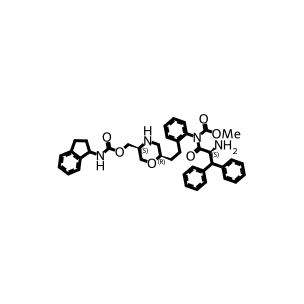 COC(=O)N(C(=O)[C@@H](N)C(c1ccccc1)c1ccccc1)c1ccccc1CC[C@@H]1CN[C@H](COC(=O)NC2CCc3ccccc32)CO1